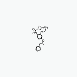 C[C@@H](Cc1ccccc1)Oc1ccc2c(c1)N1CCNC[C@H]1CC(=O)N2